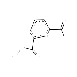 CCCCCNC(=O)c1cccc(C(N)=O)n1